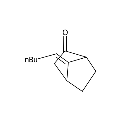 CCCCC=C1C2CCC1C(=O)C2